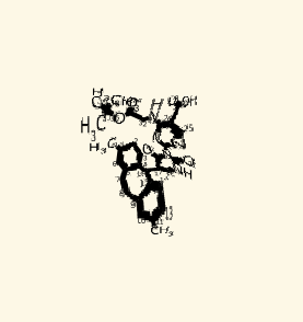 Cc1ccc2c(c1)C=Cc1cc(C)ccc1C2c1c[nH]c(=O)n(-c2ncc(C(=O)O)c(NCC(=O)OC(C)(C)C)n2)c1=O